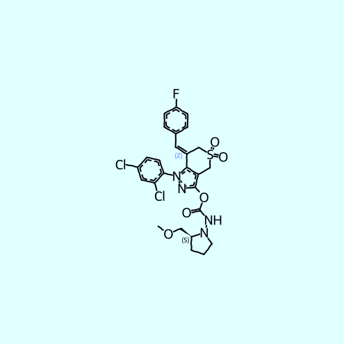 COC[C@@H]1CCCN1NC(=O)Oc1nn(-c2ccc(Cl)cc2Cl)c2c1CS(=O)(=O)C/C2=C\c1ccc(F)cc1